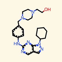 OCCN1CCN(Cc2ccc(Nc3ncc4cnn(C5CCCCC5)c4n3)cc2)CC1